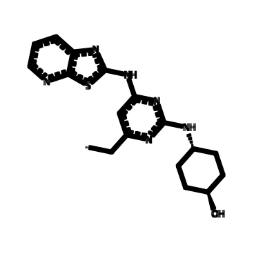 [CH2]Cc1cc(Nc2nc3cccnc3s2)nc(N[C@H]2CC[C@H](O)CC2)n1